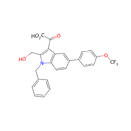 O=C(O)C(=O)c1c(CO)n(Cc2ccccc2)c2ccc(-c3ccc(OC(F)(F)F)cc3)cc12